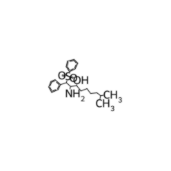 CC(C)CCCCC(O)C(N)C(c1ccccc1)S(=O)(=O)c1ccccc1